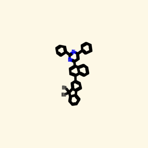 CCC1(CC)c2ccccc2-c2ccc(-c3ccc(-c4cc(-c5ccccc5)nc(-c5ccccc5)n4)c4ccccc34)cc21